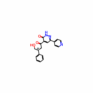 O=C(C[C@H](CO)c1ccccc1)c1cc(-c2ccncc2)n[nH]c1=O